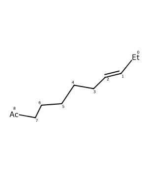 CCC=CCCCCCC(C)=O